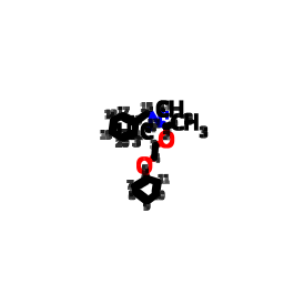 CC(OCCOc1ccccc1)[N+](C)(C)Cc1ccccc1